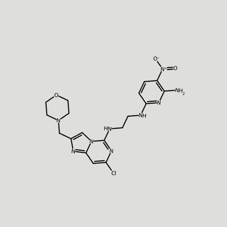 Nc1nc(NCCNc2nc(Cl)cc3nc(CN4CCOCC4)cn23)ccc1[N+](=O)[O-]